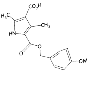 COc1ccc(COC(=O)c2[nH]c(C)c(C(=O)O)c2C)cc1